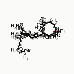 C=C(CBr)C(=O)OC(C)CCCCC(=O)N[C@H](C(=O)N[C@@H](CCCNC(N)=O)C(=O)Nc1ccc2cc(NC(=O)O[C@H]3CC(=O)N(C)c4cc(cc(OC)c4Cl)C/C(C)=C/C=C/[C@@H](OC)[C@@]4(O)C[C@H](OC(=O)N4)[C@@H](C)[C@@H]4O[C@@]34C)ccc2n1)C(C)C